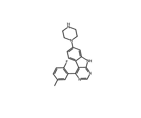 Cc1ccc(F)c(-c2ncnc3[nH]c4cc(N5CCNCC5)ccc4c23)c1